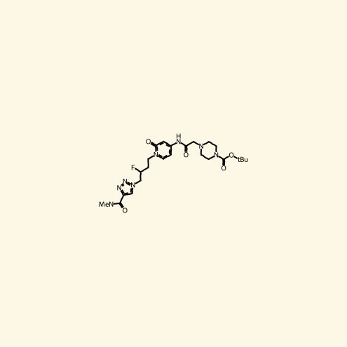 CNC(=O)c1cn(CC(F)CCn2ccc(NC(=O)CN3CCN(C(=O)OC(C)(C)C)CC3)cc2=O)nn1